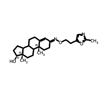 Cc1ncc(CCON=C2C=C3CCC4C(CC[C@@]5(C)C4CC[C@@H]5O)[C@@]3(C)CC2)o1